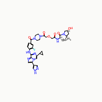 C[C@@H]1C[C@@H](O)CN1C(=O)[C@@H](NC(=O)COCC(=O)N1CCN(C(=O)c2ccc(Nc3nc(C4CC4)cn4c(-c5cn[nH]c5)cnc34)c(F)c2)CC1)C(C)(C)C